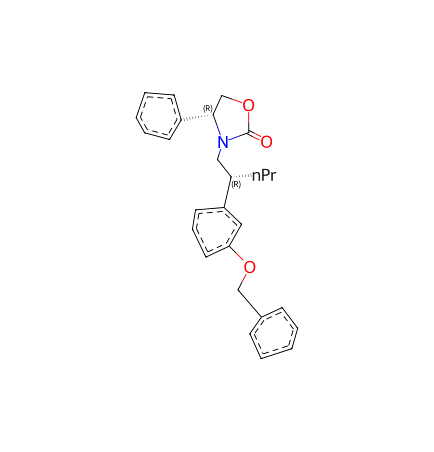 CCC[C@@H](CN1C(=O)OC[C@H]1c1ccccc1)c1cccc(OCc2ccccc2)c1